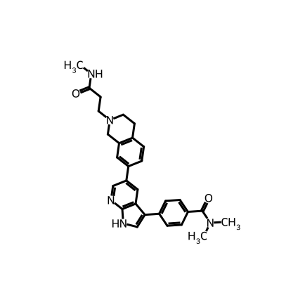 CNC(=O)CCN1CCc2ccc(-c3cnc4[nH]cc(-c5ccc(C(=O)N(C)C)cc5)c4c3)cc2C1